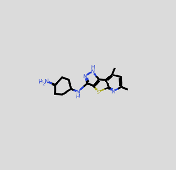 Cc1cc(C)c2c(n1)sc1c(NC3CCC(N)CC3)n[nH]c12